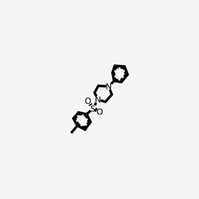 Cc1ccc(S(=O)(=O)N2CCN(c3ccccc3)CC2)cc1